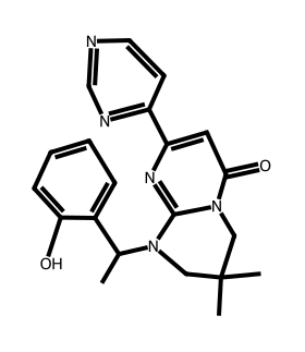 CC(c1ccccc1O)N1CC(C)(C)Cn2c1nc(-c1ccncn1)cc2=O